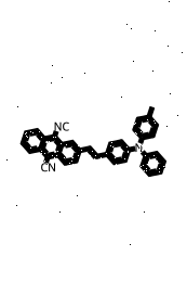 [C-]#[N+]c1c2ccccc2c(C#N)c2ccc(C=Cc3ccc(N(c4ccccc4)c4ccc(C)cc4)cc3)cc12